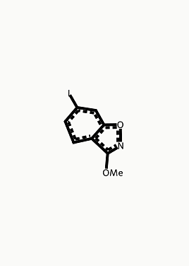 COc1noc2cc(I)ccc12